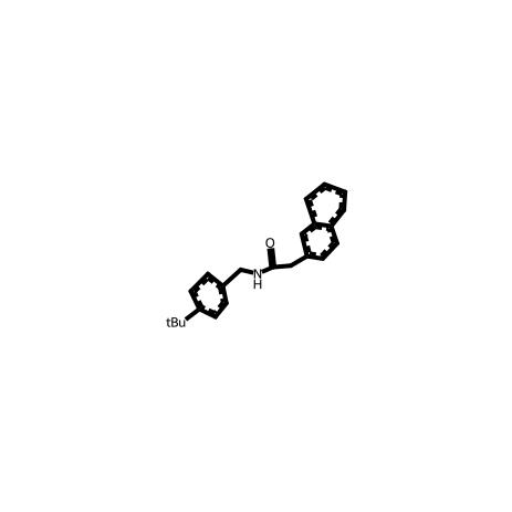 CC(C)(C)c1ccc(CNC(=O)Cc2ccc3ccccc3c2)cc1